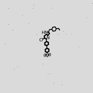 CCC1CCC(Cc2cc3nc(-c4ccc(-c5ccc(S(C)(=O)=O)cc5)cc4)c(Cl)cc3[nH]2)CC1